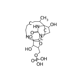 CC1CCCCCCCCCC23CC(O)C1(C2)NC(=O)N3C1OC(COP(=O)(O)O)C(O)C1O